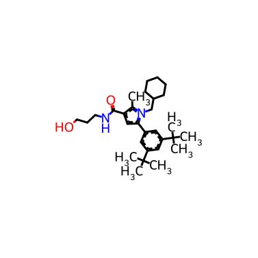 Cc1c(C(=O)NCCCO)cc(-c2cc(C(C)(C)C)cc(C(C)(C)C)c2)n1CC1CCCCC1